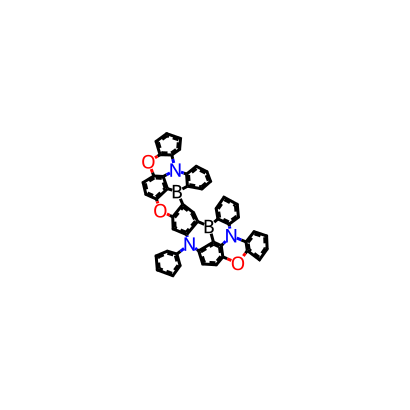 c1ccc(N2c3cc4c(cc3B3c5ccccc5N5c6ccccc6Oc6ccc2c3c65)B2c3ccccc3N3c5ccccc5Oc5ccc(c2c53)O4)cc1